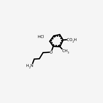 Cc1c(OCCCN)cccc1C(=O)O.Cl